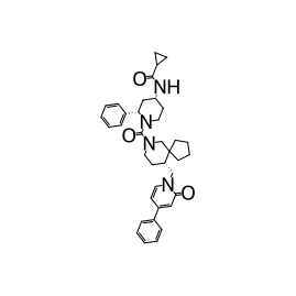 O=C(N[C@@H]1CCN(C(=O)N2CC[C@@H](Cn3ccc(-c4ccccc4)cc3=O)C3(CCCC3)C2)[C@H](c2ccccc2)C1)C1CC1